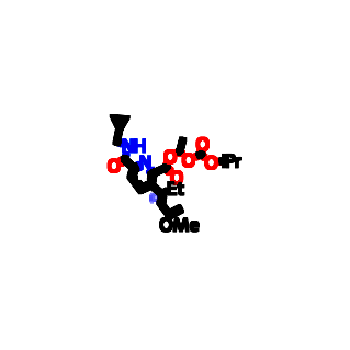 C=C(/C=C(\CC)c1ccc(C(=O)NCC2CC2)nc1C(=O)OC(C)OC(=O)OC(C)C)OC